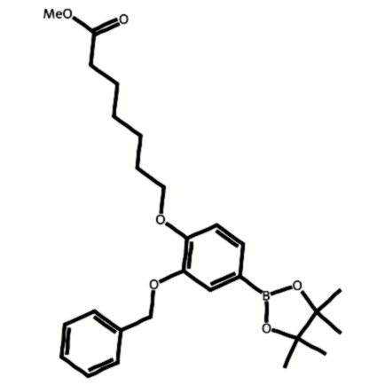 COC(=O)CCCCCCOc1ccc(B2OC(C)(C)C(C)(C)O2)cc1OCc1ccccc1